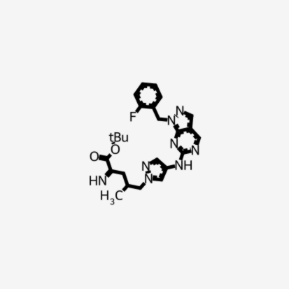 CC(CC(=N)C(=O)OC(C)(C)C)Cn1cc(Nc2ncc3cnn(Cc4ccccc4F)c3n2)cn1